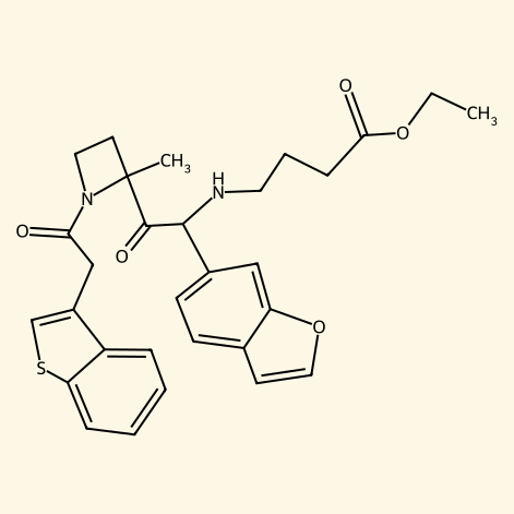 CCOC(=O)CCCNC(C(=O)C1(C)CCN1C(=O)Cc1csc2ccccc12)c1ccc2ccoc2c1